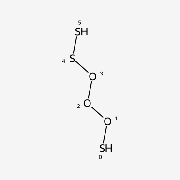 SOOOSS